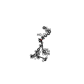 Cc1c(-c2ccc(-c3ccc4cccc(C(=O)Nc5nc6ccccc6s5)c4c3)nc2C(=O)O)cnn1CC12CC3(C)CC(C)(C1)CC(OCCN(CCCO[C@H]1O[C@@H](C(=O)O)[C@H](O)[C@@H](O)[C@@H]1O)C(=O)OCc1ccc(NC(=O)[C@H](CCCNC(N)=O)NC(=O)[C@@H](NC(=O)CCCCCN4C(=O)C=CC4=O)C(C)C)cc1)(C3)C2